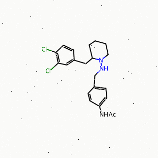 CC(=O)Nc1ccc(CNN2CCCCC2Cc2ccc(Cl)c(Cl)c2)cc1